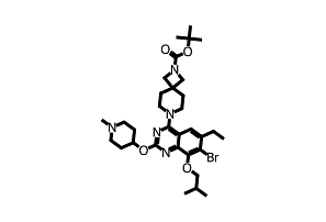 CCc1cc2c(N3CCC4(CC3)CN(C(=O)OC(C)(C)C)C4)nc(OC3CCN(C)CC3)nc2c(OCC(C)C)c1Br